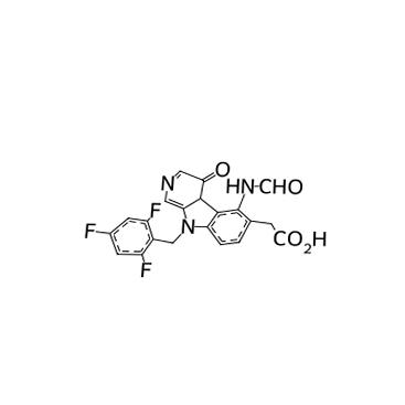 O=CNc1c(CC(=O)O)ccc2c1C1C(=O)C=NC=C1N2Cc1c(F)cc(F)cc1F